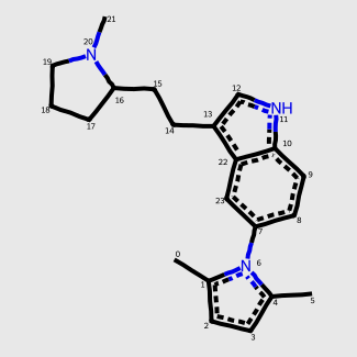 Cc1ccc(C)n1-c1ccc2[nH]cc(CCC3CCCN3C)c2c1